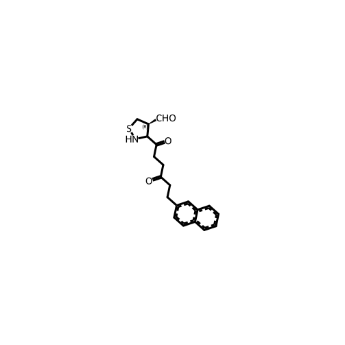 O=C[C@@H]1CSNC1C(=O)CCC(=O)CCc1ccc2ccccc2c1